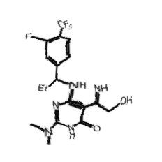 CCC(Nc1nc(N(C)C)[nH]c(=O)c1C(=N)CO)c1ccc(C(F)(F)F)c(F)c1